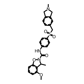 COc1cccc2c1C(C)N(C(=O)Nc1ccc(S(=O)(=O)Cc3ccc4c(c3)CN(C)C4)cc1)O2